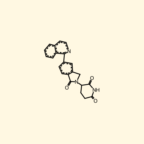 O=C1CCC(N2Cc3cc(-c4nccc5ccccc45)ccc3C2=O)C(=O)N1